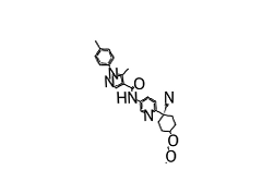 COCO[C@H]1CC[C@](C#N)(c2ccc(NC(=O)c3cnn(-c4ccc(C)cc4)c3C)cn2)CC1